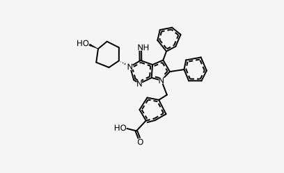 N=c1c2c(-c3ccccc3)c(-c3ccccc3)n(Cc3ccc(C(=O)O)cc3)c2ncn1[C@H]1CC[C@H](O)CC1